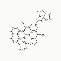 C=CC(=O)N1CCC(N(C)c2nc(OCC34CCCN3CCC4)nc3c(F)c(-c4cccc5ccc(F)c(Cl)c45)ncc23)C1